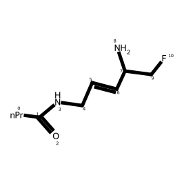 CCCC(=O)NC/C=C/C(N)CF